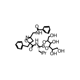 CC(C)C[C@H](NC(=O)C1(Cc2ccccc2)CC(CNC(=O)c2ccccc2)=NO1)B1OC(CO)C(O)C(C(O)CO)O1